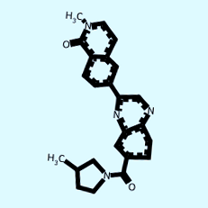 CC1CCN(C(=O)c2ccc3ncc(-c4ccc5c(=O)n(C)ccc5c4)nc3c2)C1